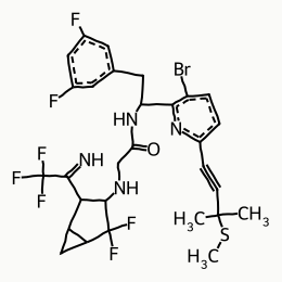 CSC(C)(C)C#Cc1ccc(Br)c(C(Cc2cc(F)cc(F)c2)NC(=O)CNC2C(C(=N)C(F)(F)F)C3CC3C2(F)F)n1